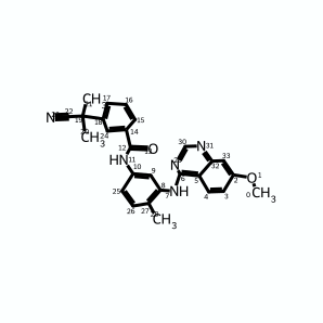 COc1ccc2c(Nc3cc(NC(=O)c4cccc(C(C)(C)C#N)c4)ccc3C)ncnc2c1